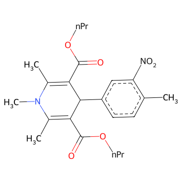 CCCOC(=O)C1=C(C)N(C)C(C)=C(C(=O)OCCC)C1c1ccc(C)c([N+](=O)[O-])c1